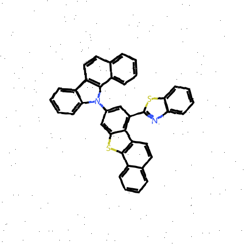 c1ccc2c(c1)ccc1c2sc2cc(-n3c4ccccc4c4ccc5ccccc5c43)cc(-c3nc4ccccc4s3)c21